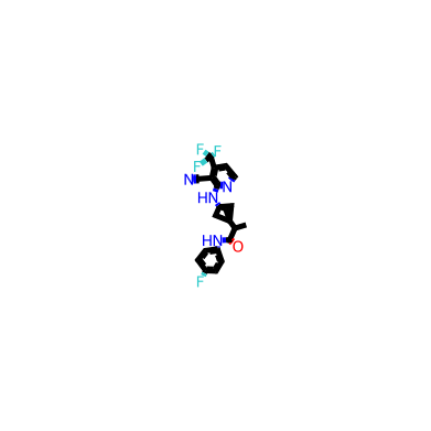 CC(C(=O)Nc1ccc(F)cc1)C12CC(Nc3nccc(C(F)(F)F)c3C#N)(C1)C2